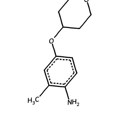 Cc1cc(OC2CCOCC2)ccc1N